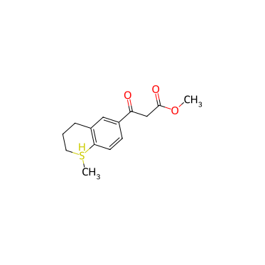 COC(=O)CC(=O)c1ccc2c(c1)CCC[SH]2C